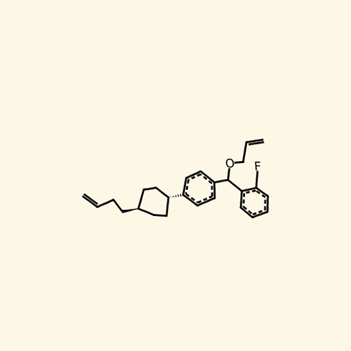 C=CCC[C@H]1CC[C@H](c2ccc(C(OCC=C)c3ccccc3F)cc2)CC1